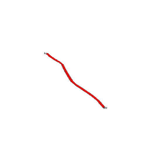 SSSSSSSSSSSSSSSSSSSSSSSSSSSSSSSSSSSSSSSSSSSSSSSSSSSSSSSSSSSSSSSSSSSSSSSSSSSSSSSSSSSSSSSSSSSSSSSSSSSSSSSSSSSSSSSSSSSSSSSSSSSSSSSSSSS